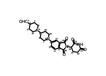 O=CC1CCN(C2CCN(c3ccc4c(c3)C(=O)N(C3CCC(=O)NC3=O)C4=O)CC2)CC1